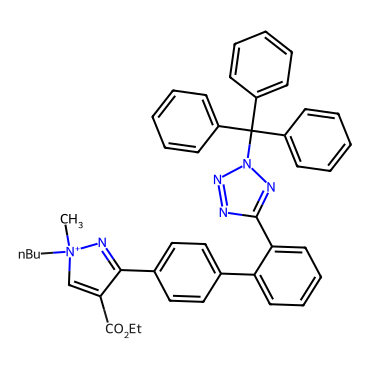 CCCC[N+]1(C)C=C(C(=O)OCC)C(c2ccc(-c3ccccc3-c3nnn(C(c4ccccc4)(c4ccccc4)c4ccccc4)n3)cc2)=N1